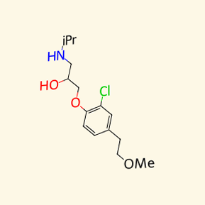 COCCc1ccc(OCC(O)CNC(C)C)c(Cl)c1